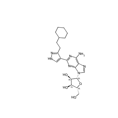 Nc1nc(-c2c[nH]nc2CCC2CCCCC2)nc2c1ncn2[C@@H]1O[C@H](CO)[C@@H](O)[C@H]1O